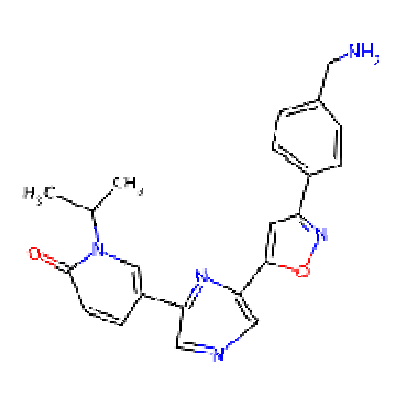 CC(C)n1cc(-c2cncc(-c3cc(-c4ccc(CN)cc4)no3)n2)ccc1=O